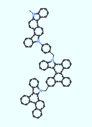 Cn1c2ccccc2c2c3ccc4c(c3ccc21)c1ccccc1n4-c1ccc(Cn2c3ccccc3c3c4c5ccc(Cn6c7ccccc7c7c8ccccc8c8c9ccccc9ccc8c76)cc5c5ccccc5c4c4ccccc4c32)cc1